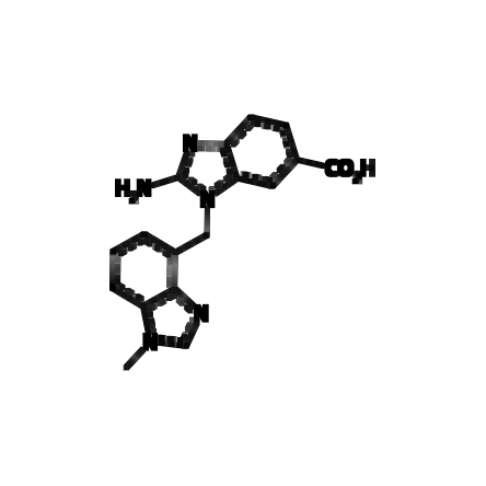 Cn1cnc2c(Cn3c(N)nc4ccc(C(=O)O)cc43)cccc21